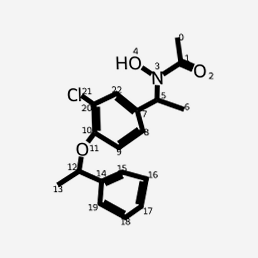 CC(=O)N(O)C(C)c1ccc(OC(C)c2ccccc2)c(Cl)c1